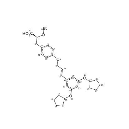 CCO[C@@H](Cc1ccc(OC/C=C/c2cc(OC3CCCC3)cc(OC3CCCC3)c2)cc1)C(=O)O